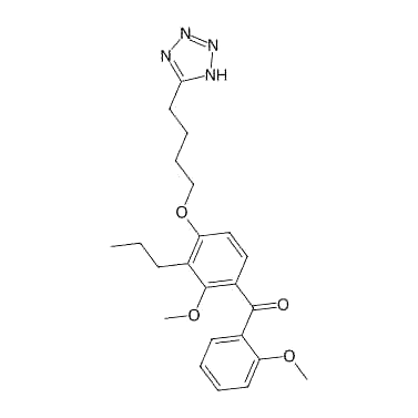 CCCc1c(OCCCCc2nnn[nH]2)ccc(C(=O)c2ccccc2OC)c1OC